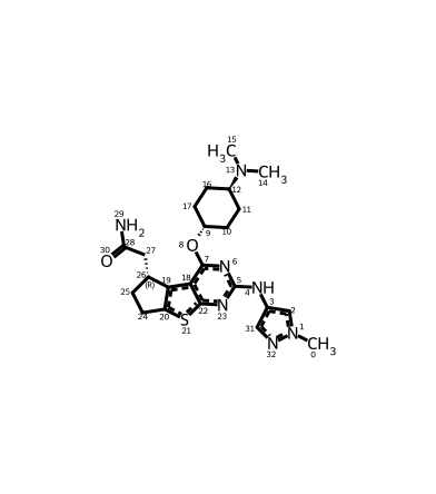 Cn1cc(Nc2nc(O[C@H]3CC[C@H](N(C)C)CC3)c3c4c(sc3n2)CC[C@@H]4CC(N)=O)cn1